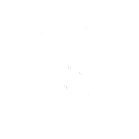 Cc1nc(C=O)nn1-c1cc(Cl)cc(Cl)c1